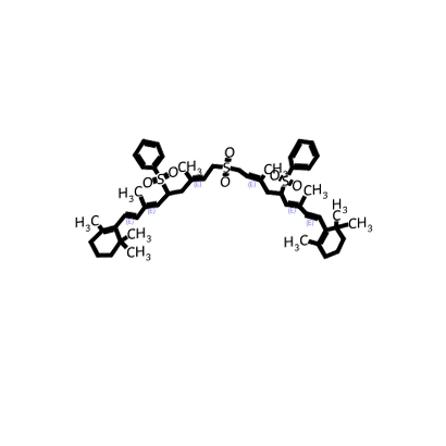 CC1=C(/C=C/C(C)=C/C(C/C(C)=C/CS(=O)(=O)C/C=C(\C)CC(/C=C(C)/C=C/C2=C(C)CCCC2(C)C)S(=O)(=O)c2ccccc2)S(=O)(=O)c2ccccc2)C(C)(C)CCC1